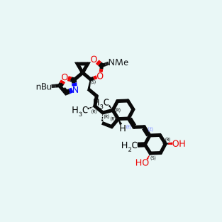 C=C1/C(=C\C=C2/CCC[C@]3(C)[C@@H]([C@H](C)CC[C@H](OC(=O)NC)C4(c5ncc(CCCC)o5)CC4)CC[C@@H]23)C[C@@H](O)C[C@@H]1O